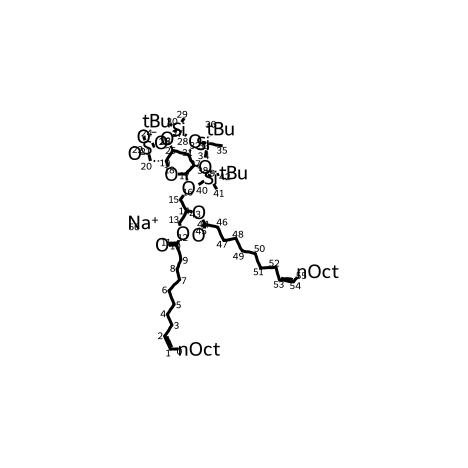 CCCCCCCC/C=C\CCCCCCCC(=O)OCC(CO[C@H]1O[C@H](CS(=O)(=O)[O-])[C@@H](O[Si](C)(C)C(C)(C)C)[C@H](O[Si](C)(C)C(C)(C)C)[C@H]1O[Si](C)(C)C(C)(C)C)OC(=O)CCCCCCC/C=C\CCCCCCCC.[Na+]